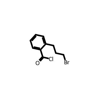 O=C(Cl)c1ccccc1CCCBr